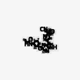 C=CC(=O)Nc1cccc(Oc2cnc3[nH]cc(-c4cnn(C5(CC#N)COC5)c4)c3n2)c1